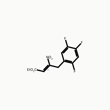 CCOC(=O)/C=C(/Cc1cc(F)c(F)cc1F)[N+](=O)[O-]